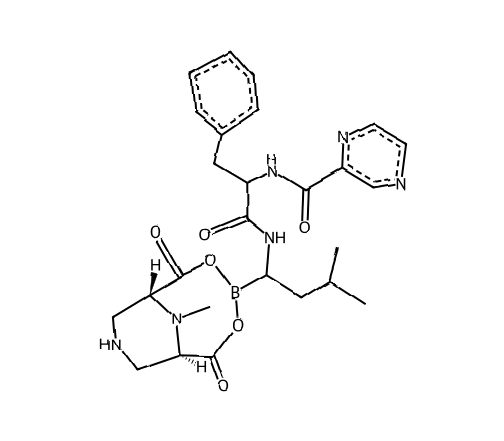 CC(C)CC(NC(=O)C(Cc1ccccc1)NC(=O)c1cnccn1)B1OC(=O)[C@H]2CNC[C@H](C(=O)O1)N2C